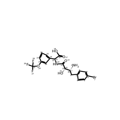 N[C@H](Cc1ccc(Br)cc1)[C@H](O)C(=O)N[C@H](C(=O)O)c1cccc(OC(F)(F)F)c1